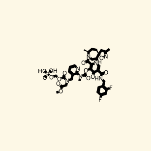 COC(=O)CN(Cc1cccnc1N(C)C(=O)Oc1c2n(cc(C(=O)NCc3ccc(F)cc3F)c1=O)[C@@H]1CN(C2=O)[C@@H](C)CC[C@]12CC(C)=NO2)C(=O)OCOP(=O)(O)O